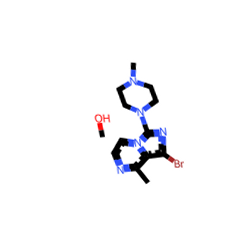 CO.Cc1nccn2c(N3CCN(C)CC3)nc(Br)c12